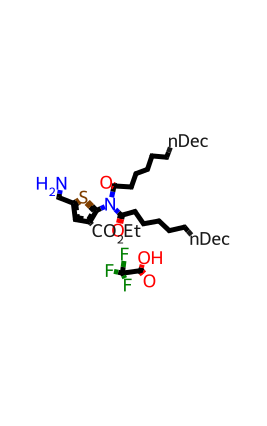 CCCCCCCCCCCCCCCC(=O)N(C(=O)CCCCCCCCCCCCCCC)c1sc(CN)cc1C(=O)OCC.O=C(O)C(F)(F)F